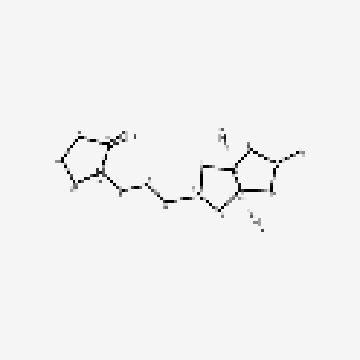 CN1C[C@@H]2CN(CCCN3CCCC3=O)C[C@@H]2C1